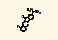 NC(N)c1ccc2c(c1)C(=O)N(Cc1c(F)cccc1F)C2